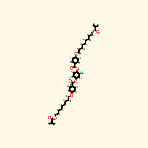 C=C(C)C(=O)OCCCCCCCCCOc1ccc(C(=O)Oc2cc(F)c(OC(=O)c3ccc(OCCCCCCCCCOC(=O)C(=C)C)cc3)cc2F)cc1